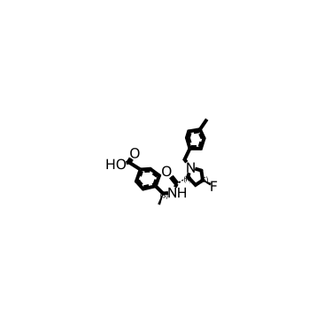 Cc1ccc(CN2C[C@@H](F)C[C@@H]2C(=O)N[C@@H](C)c2ccc(C(=O)O)cc2)cc1